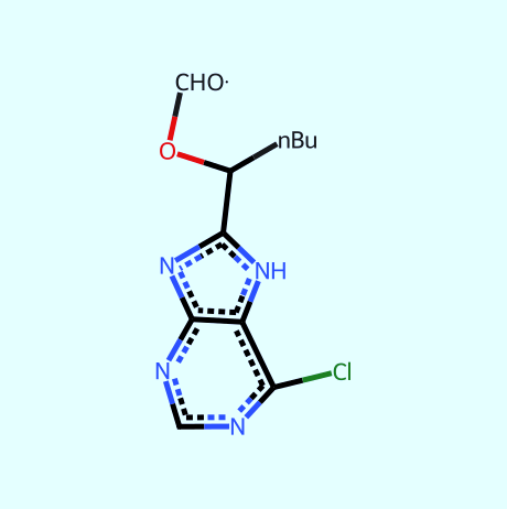 CCCCC(O[C]=O)c1nc2ncnc(Cl)c2[nH]1